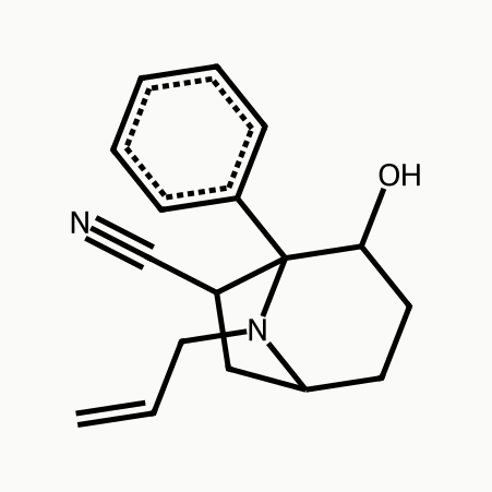 C=CCN1C2CCC(O)C1(c1ccccc1)C(C#N)C2